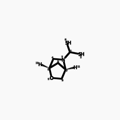 SC(S)N1C[C@H]2C[C@@H]1CO2